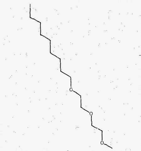 COCCOCCOCCCCCCCCI